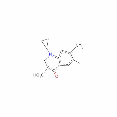 Cc1cc2c(=O)c(C(=O)O)cn(C3CC3)c2cc1[N+](=O)[O-]